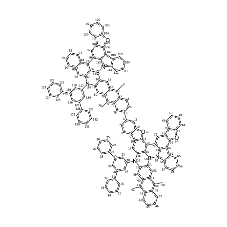 Cc1c2ccc(-c3ccc4c(c3)oc3c5c6c(cc34)N(c3cc(-c4ccccc4)cc(-c4ccccc4)c3)c3cc4c(C)c7ccccc7c(C)c4cc3B6n3c4ccccc4c4c6oc7ccccc7c6cc-5c43)cc2c(C)c2cc3c(cc12)B1c2c(cc4ccccc4c2-c2cc4c5ccccc5oc4c4c5ccccc5n1c24)N3c1cc(-c2ccccc2)cc(-c2ccccc2)c1